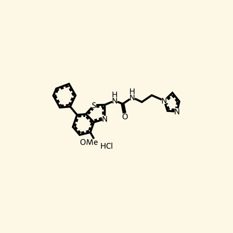 COc1ccc(-c2ccccc2)c2sc(NC(=O)NCCn3ccnc3)nc12.Cl